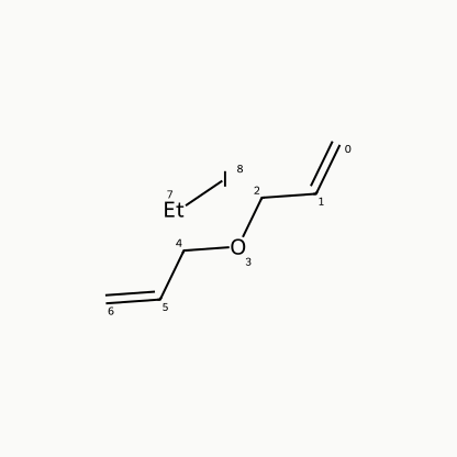 C=CCOCC=C.CCI